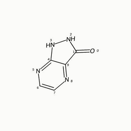 O=c1[nH][nH]c2nccnc12